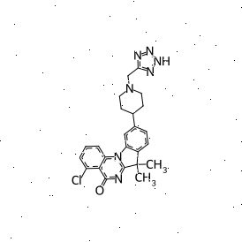 CC1(C)c2ccc(C3CCN(Cc4nn[nH]n4)CC3)cc2-n2c1nc(=O)c1c(Cl)cccc12